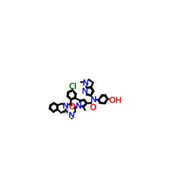 Cc1c(C(=O)N(c2ccc(O)cc2)c2cnc3c(c2)CCN3C)cc(-c2cc(Cl)ccc2C(=O)N2Cc3ccccc3C[C@H]2C)n1CCN(C)C